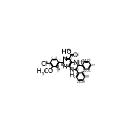 COc1c(Cl)ccc(-c2nc3c(c(C(=O)O)n2)NC(c2ccccc2)C(c2ccccc2)N3)c1F